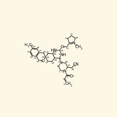 C=CC(=O)N1CCN(C2NC(OCC3CCCN3C)NC3C[C@]4(CCC32)Cc2cc(C)ccc2CO4)CC1CC#N